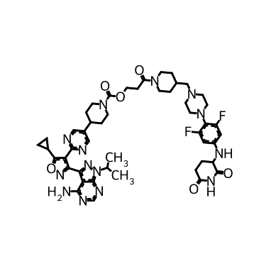 CC(C)n1nc(-c2noc(C3CC3)c2-c2ncc(C3CCN(C(=O)OCCC(=O)N4CCC(CN5CCN(c6c(F)cc(NC7CCC(=O)NC7=O)cc6F)CC5)CC4)CC3)cn2)c2c(N)ncnc21